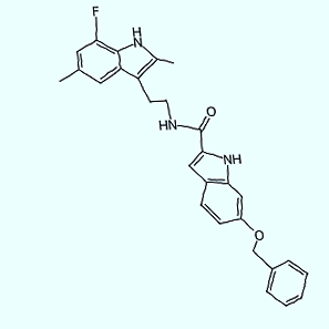 Cc1cc(F)c2[nH]c(C)c(CCNC(=O)c3cc4ccc(OCc5ccccc5)cc4[nH]3)c2c1